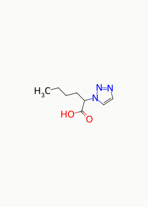 CCCCC(C(=O)O)n1ccnn1